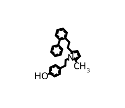 Cc1ccc(CCc2ccccc2-c2ccccc2)n1CCc1ccc(O)cc1